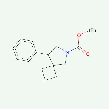 CC(C)(C)OC(=O)N1CC(c2ccccc2)C2(CCC2)C1